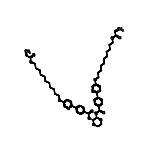 C=CC(=O)OCCCCCCCCCCCOc1ccc(-c2ccc(C(=O)O[C@H]3OCCO[C@@H]3OC(=O)c3ccc(-c4ccc(OCCCCCCCCCCCOC(=O)C=C)cn4)cc3)cc2)nc1